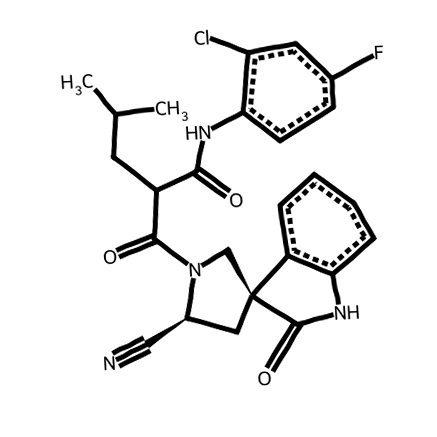 CC(C)CC(C(=O)Nc1ccc(F)cc1Cl)C(=O)N1C[C@]2(C[C@H]1C#N)C(=O)Nc1ccccc12